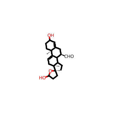 C[C@]12CCC(O)C=C1C[C@@H](C=O)C1C2=CC[C@@]2(C)C1CC[C@@]21CCC(O)O1